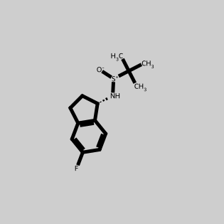 CC(C)(C)[S+]([O-])N[C@H]1CCc2cc(F)ccc21